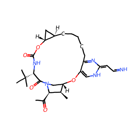 CC(=O)[C@@H]1[C@H](C)[C@@H]2CN1C(=O)[C@H](C(C)(C)C)NC(=O)O[C@@H]1C[C@H]1CCCCCC1=N/C(=C/C=N)NC=C1O2